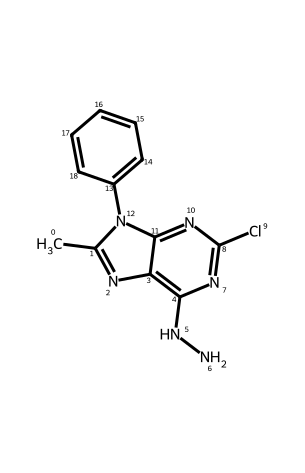 Cc1nc2c(NN)nc(Cl)nc2n1-c1ccccc1